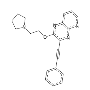 C(#Cc1nc2ncccc2nc1OCCN1CCCC1)c1ccccc1